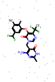 Cc1nc(N)c(Cn2cnc(C(F)(F)C(F)(F)F)c(Oc3cc(C(F)F)cc(C#N)c3C)c2=O)c(=O)[nH]1